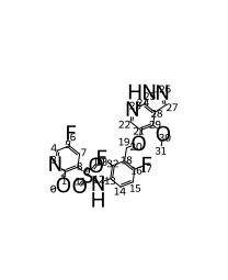 COc1ncc(F)cc1S(=O)(=O)Nc1ccc(F)c(COc2cnc3[nH]ncc3c2OC)c1F